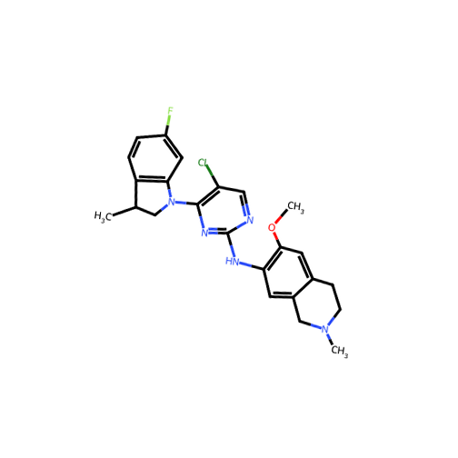 COc1cc2c(cc1Nc1ncc(Cl)c(N3CC(C)c4ccc(F)cc43)n1)CN(C)CC2